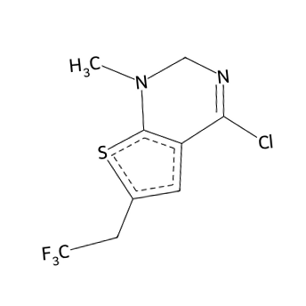 CN1CN=C(Cl)c2cc(CC(F)(F)F)sc21